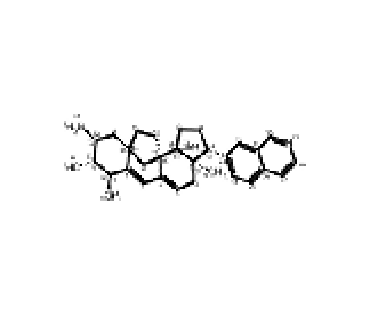 C[C@]12CC=C3C=C4[C@@H](O)[C@H](O)[C@@H](N)C[C@]45CC[C@]3(C5)[C@@H]1CC[C@@H]2c1ccc2ccncc2c1